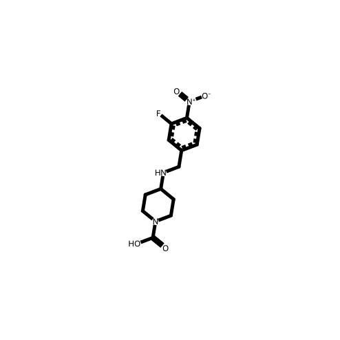 O=C(O)N1CCC(NCc2ccc([N+](=O)[O-])c(F)c2)CC1